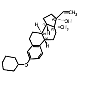 C=C[C@]1(O)CC[C@H]2[C@@H]3CCc4cc(OC5CCCCC5)ccc4[C@H]3CC[C@@]21C